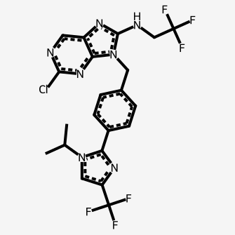 CC(C)n1cc(C(F)(F)F)nc1-c1ccc(Cn2c(NCC(F)(F)F)nc3cnc(Cl)nc32)cc1